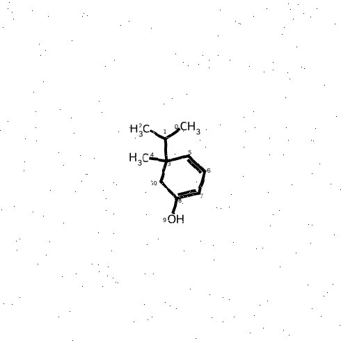 CC(C)C1(C)C=CC=C(O)C1